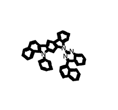 c1ccc(-n2c3cc4c(cc3c3ccc5ccccc5c32)c2ccccc2n4-c2nc(-c3cccc4ccccc34)c3ccccc3n2)cc1